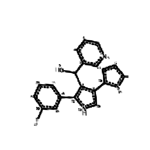 OC(c1cccnc1)c1c(-c2cccs2)c[nH]c1-c1cccc(F)c1